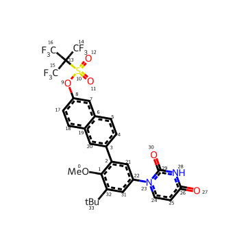 COc1c(-c2ccc3cc(OS(=O)(=O)C(C(F)(F)F)(C(F)(F)F)C(F)(F)F)ccc3c2)cc(-n2ccc(=O)[nH]c2=O)cc1C(C)(C)C